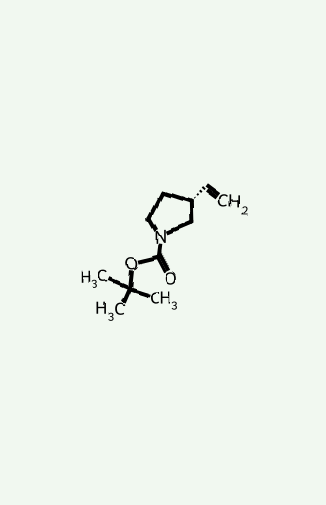 C=C[C@H]1CCN(C(=O)OC(C)(C)C)C1